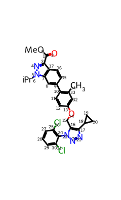 COC(=O)c1nn(C(C)C)c2cc(-c3ccc(OCc4c(C5CC5)nnn4-c4c(Cl)cccc4Cl)cc3C)ccc12